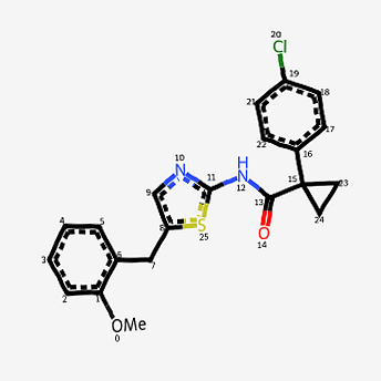 COc1ccccc1Cc1cnc(NC(=O)C2(c3ccc(Cl)cc3)CC2)s1